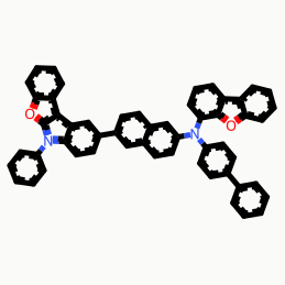 c1ccc(-c2ccc(N(c3ccc4cc(-c5ccc6c(c5)c5c7ccccc7oc5n6-c5ccccc5)ccc4c3)c3cccc4c3oc3ccccc34)cc2)cc1